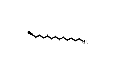 C#CCCCCCCCCCCCCN